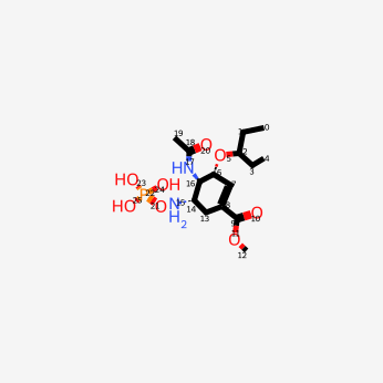 CCC(CC)O[C@@H]1C=C(C(=O)OC)C[C@H](N)[C@H]1NC(C)=O.O=P(O)(O)O